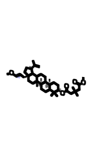 C=C(C)[C@@H]1CC[C@]2(C/C=C/OC)CC[C@]3(C)C(CCC4[C@@]5(C)CC[C@H](OC(=O)CC(C)(C)CC(=O)OC)C(C)(C)C5CC[C@]43C)C12